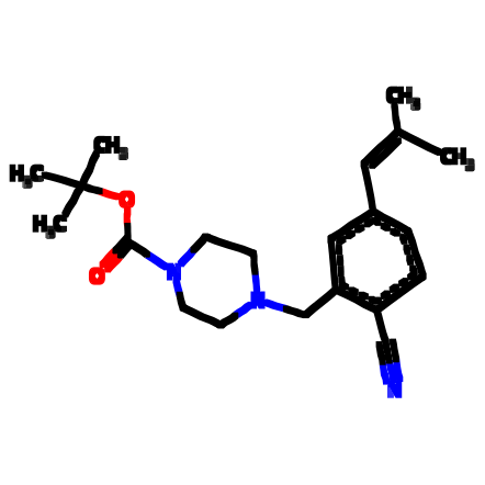 CC(C)=Cc1ccc(C#N)c(CN2CCN(C(=O)OC(C)(C)C)CC2)c1